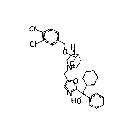 O[C@](c1ccccc1)(c1ncc(C[N+]23CCC(CC2)[C@@H](OCc2ccc(Cl)c(Cl)c2)C3)o1)C1CCCCC1